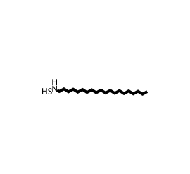 CCCCCCCCCCCCCCCCCCCCNS